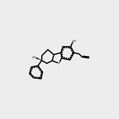 C=CCc1cc2c(cc1O)C1CC[C@@](O)(c3ccccc3)CC1O2